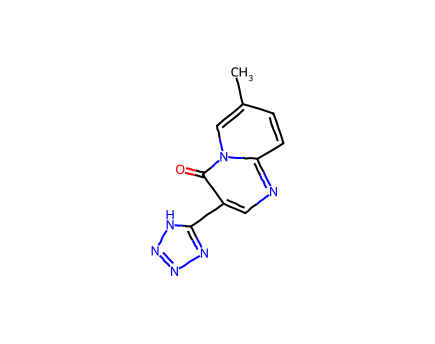 Cc1ccc2ncc(-c3nnn[nH]3)c(=O)n2c1